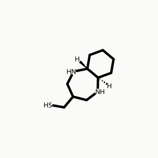 SCC1CN[C@@H]2CCCC[C@H]2NC1